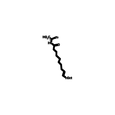 CCCCCCCCC=CCCCCCCCC(=O)N[C@H](C(=O)O)C(C)C